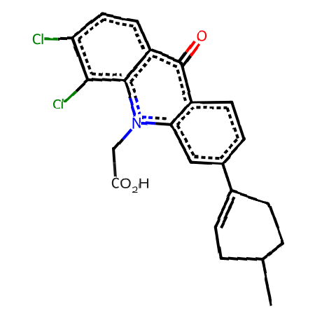 CC1CC=C(c2ccc3c(=O)c4ccc(Cl)c(Cl)c4n(CC(=O)O)c3c2)CC1